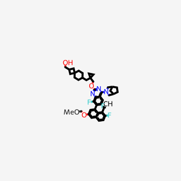 C#Cc1c(F)ccc2cc(OCOC)cc(-c3c(F)cc4c(N5CC6CCC(C6)C5)nc(OCC5(CC6CCC7(CC6)CC(CO)C7)CC5)nc4c3F)c12